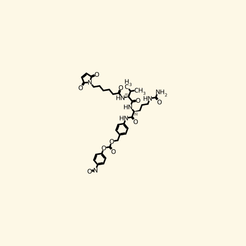 CC(C)[C@H](NC(=O)CCCCCN1C(=O)C=CC1=O)C(=O)N[C@@H](CCCNC(N)=O)C(=O)Nc1ccc(COC(=O)Oc2ccc(N=O)cc2)cc1